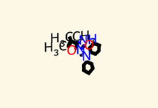 CC=C(C)C1(C)NC(=O)N(CN(C2CCCCC2)C2CCCCC2)C1=O